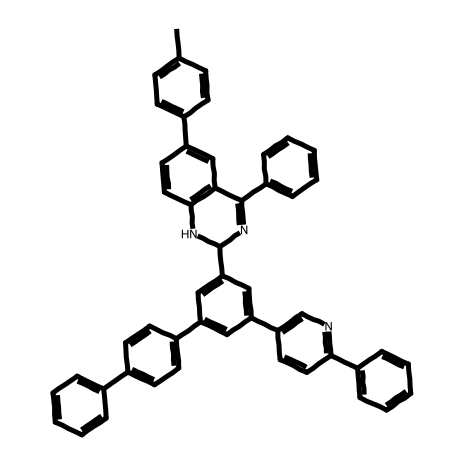 Cc1ccc(-c2ccc3c(c2)C(c2ccccc2)=NC(c2cc(-c4ccc(-c5ccccc5)cc4)cc(-c4ccc(-c5ccccc5)nc4)c2)N3)cc1